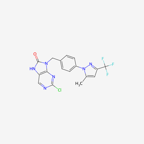 Cc1cc(C(F)(F)F)nn1-c1ccc(Cn2c(=O)[nH]c3cnc(Cl)nc32)cc1